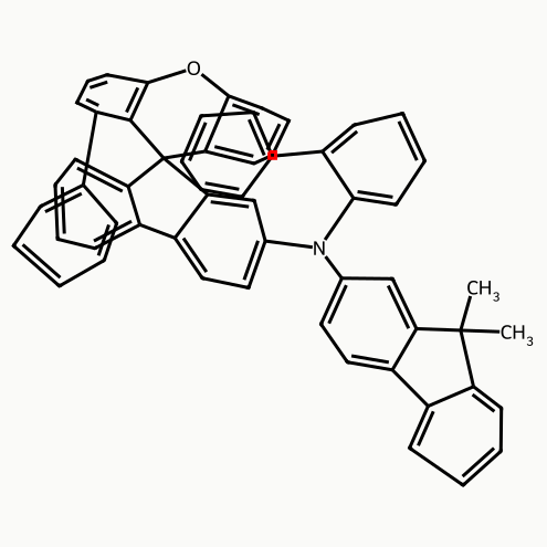 CC1(C)c2ccccc2-c2ccc(N(c3ccc4c(c3)C3(c5ccccc5Oc5cccc(-c6ccccc6)c53)c3ccccc3-4)c3ccccc3-c3ccccc3)cc21